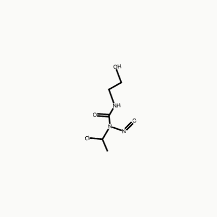 CC(Cl)N(N=O)C(=O)NCCO